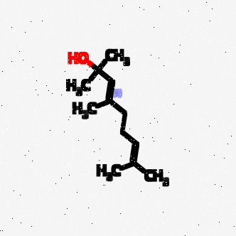 CC(C)=CCC/C(C)=C/C(C)(C)O